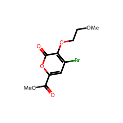 COCCOc1c(Br)cc(C(=O)OC)oc1=O